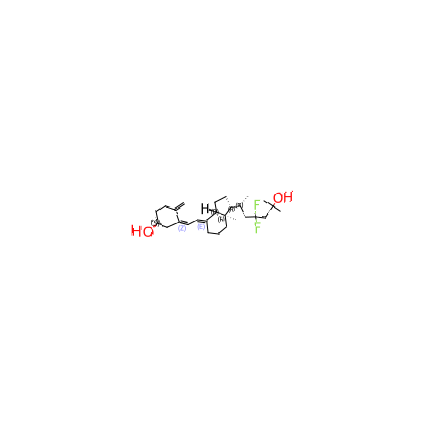 C=C1CC[C@H](O)C/C1=C/C=C1\CCC[C@]2(C)[C@@H]([C@H](C)CC(F)(F)CC(C)(C)O)CC[C@@H]12